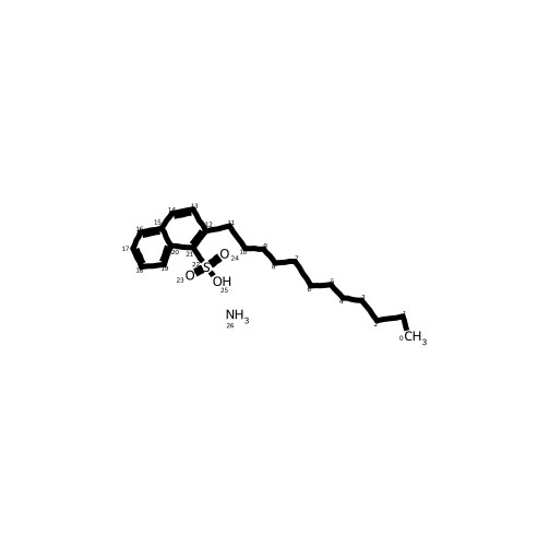 CCCCCCCCCCCCc1ccc2ccccc2c1S(=O)(=O)O.N